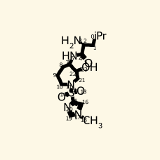 CC(C)C[C@H](N)C(=O)NC1CCCN(S(=O)(=O)c2cn(C)cn2)CC1O